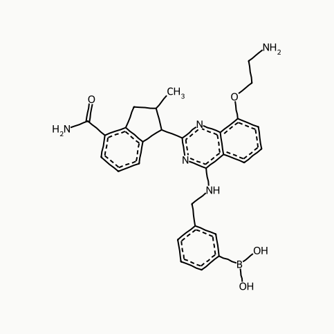 CC1Cc2c(C(N)=O)cccc2C1c1nc(NCc2cccc(B(O)O)c2)c2cccc(OCCN)c2n1